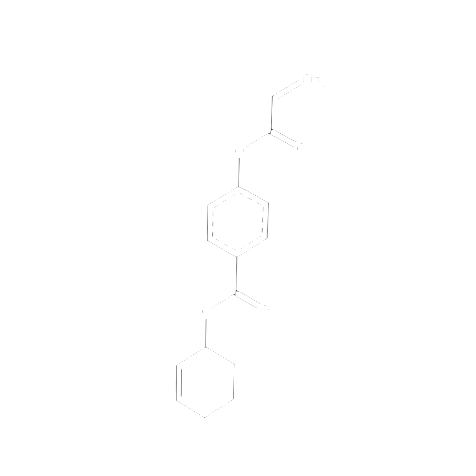 C=CC(=O)Oc1ccc(C(=O)OC2C=CCCC2)cc1